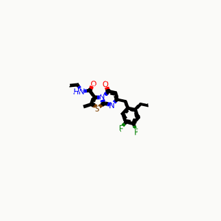 CCNC(=O)c1c(C)sc2nc(Cc3cc(F)c(F)cc3CC)cc(=O)n12